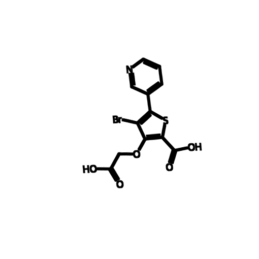 O=C(O)COc1c(C(=O)O)sc(-c2cccnc2)c1Br